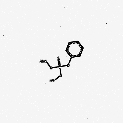 CCCSP(=S)(OSC)Oc1ccccc1